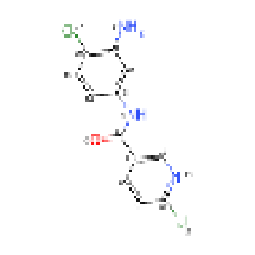 Nc1cc(NC(=O)c2ccc(Cl)nc2)ccc1Cl